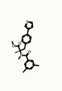 COC(=O)[C@](C)(Cc1ccc(-c2ccsc2)cc1)N(C)C(=O)c1cc(C)cc(C)c1